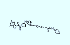 CN/C(=C\NCCOCCOCCC(=O)NCCN1CCOCC1)c1ccc(NC(=O)c2ccn3c(C)cc(C)nc23)cc1